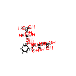 O=C(O)c1ccccc1O.OB(O)O.OB(O)O.OB(O)O.OB(O)O